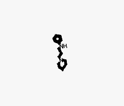 [CH]1CCN(CCCNc2ccccc2)CC1